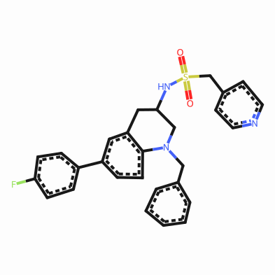 O=S(=O)(Cc1ccncc1)NC1Cc2cc(-c3ccc(F)cc3)ccc2N(Cc2ccccc2)C1